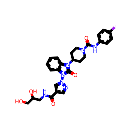 O=C(NCC(O)CO)c1cnn(-n2c(=O)n(C3CCN(C(=O)Nc4ccc(I)cc4)CC3)c3ccccc32)c1